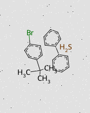 CC(C)(C)c1ccc(Br)cc1.S.c1ccc(-c2ccccc2)cc1